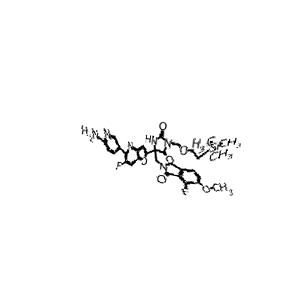 COc1ccc2c(c1F)C(=O)N(CC1(c3cc4nc(-c5ccc(N)nc5)c(F)cc4o3)NC(=O)N(COCC[Si](C)(C)C)C1=O)C2